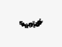 O=C(N[C@H]1CC[C@H](c2nnc(C3CC(OC(F)(F)F)C3)o2)OC1)c1ccc2cc(F)c(F)cc2n1